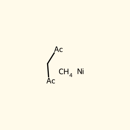 C.CC(=O)CC(C)=O.[Ni]